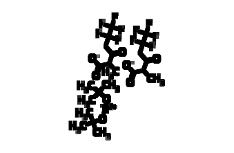 CC(C(=O)[O-])C(=O)CC(F)(F)C(F)(F)F.CC(C(=O)[O-])C(=O)CC(F)(F)C(F)(F)F.CC(C)(C)[O][Ti+2][O]C(C)(C)C